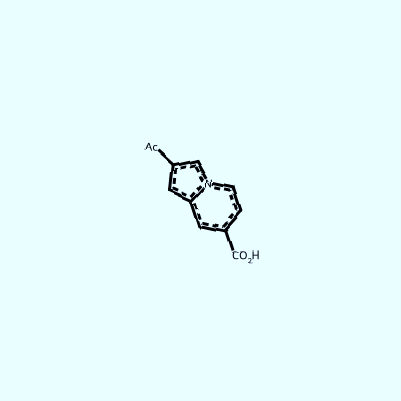 CC(=O)c1cc2cc(C(=O)O)ccn2c1